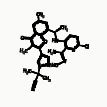 Cc1cc([C@@H](C)Nc2ccc(Cl)nc2/C(N)=N/O)c2oc(-c3cnn(C(C)(C)C#N)c3)c(C)c(=O)c2c1